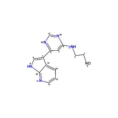 O=NCCNc1cc(-c2c[nH]c3ncccc23)ncn1